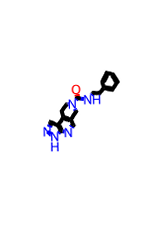 O=C(NCCc1ccccc1)N1CCc2c(cnc3[nH]ncc23)C1